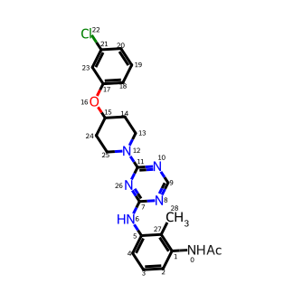 CC(=O)Nc1cccc(Nc2ncnc(N3CCC(Oc4cccc(Cl)c4)CC3)n2)c1C